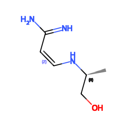 C[C@H](CO)N/C=C\C(=N)N